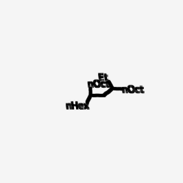 CCCCCCCCC(CC)CC(CCCCCC)CCCCCCCC